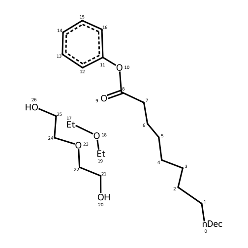 CCCCCCCCCCCCCCCCCC(=O)Oc1ccccc1.CCOCC.OCCOCCO